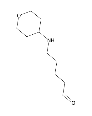 O=CCCCCNC1CCOCC1